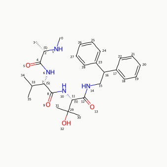 CN[C@@H](C)C(=O)N[C@H](C(=O)N[C@H](C(=O)NCC(c1ccccc1)c1ccccc1)C(C)(C)O)C(C)C